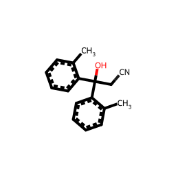 Cc1ccccc1C(O)(CC#N)c1ccccc1C